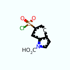 O=C(O)n1ccc2ccc(S(=O)(=O)Cl)cc21